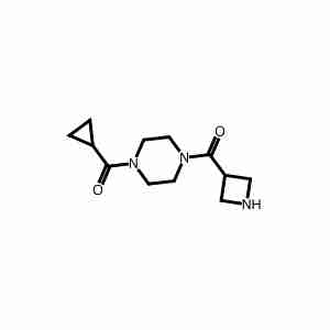 O=C(C1CC1)N1CCN(C(=O)C2CNC2)CC1